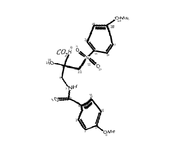 COc1ccc(C(=O)NCC(O)(CS(=O)(=O)c2ccc(OC)cc2)C(=O)O)cc1